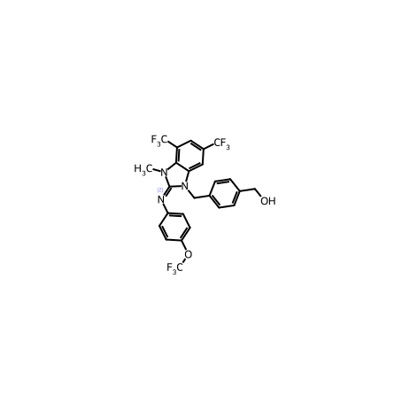 Cn1/c(=N/c2ccc(OC(F)(F)F)cc2)n(Cc2ccc(CO)cc2)c2cc(C(F)(F)F)cc(C(F)(F)F)c21